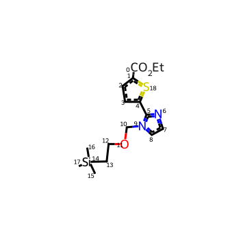 CCOC(=O)c1ccc(-c2nccn2COCC[Si](C)(C)C)s1